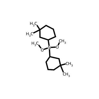 CO[Si](OC)(C1CCCC(C)(C)C1)C1CCCC(C)(C)C1